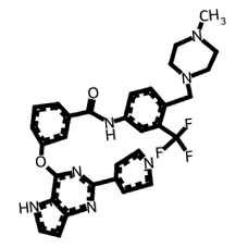 CN1CCN(Cc2ccc(NC(=O)c3cccc(Oc4nc(-c5ccncc5)nc5cc[nH]c45)c3)cc2C(F)(F)F)CC1